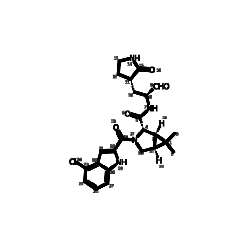 CC1(C)[C@@H]2[C@@H](C(=O)N[C@H](C=O)C[C@@H]3CCNC3=O)N(C(=O)c3cc4c(Cl)cccc4[nH]3)C[C@@H]21